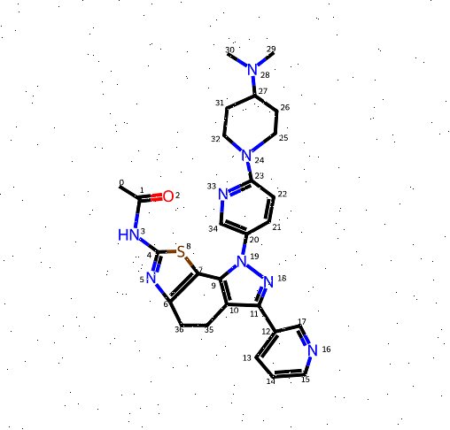 CC(=O)Nc1nc2c(s1)-c1c(c(-c3cccnc3)nn1-c1ccc(N3CCC(N(C)C)CC3)nc1)CC2